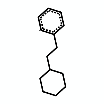 [c]1ccccc1CCC1CCCCC1